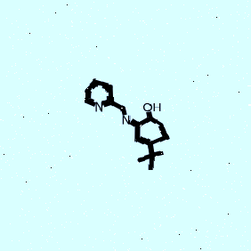 CC(C)(C)C1=CC(=NCc2ccccn2)C(O)C=C1